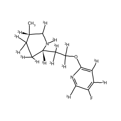 [2H]c1nc(OC([2H])([2H])C([2H])([2H])[C@@]2([2H])N([2H])C([2H])[C@@]([2H])(C)C([2H])([2H])C2([2H])[2H])c([2H])c([2H])c1F